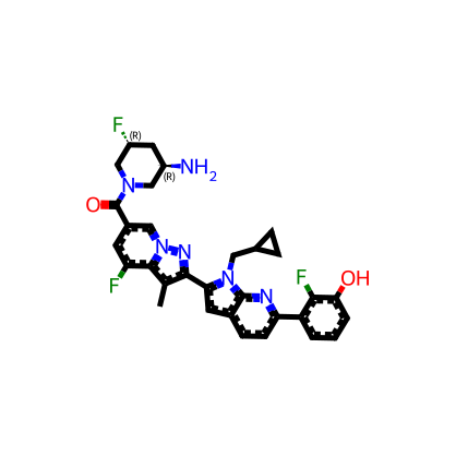 Cc1c(-c2cc3ccc(-c4cccc(O)c4F)nc3n2CC2CC2)nn2cc(C(=O)N3C[C@H](N)C[C@@H](F)C3)cc(F)c12